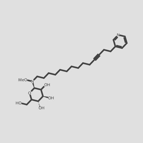 CON(CCCCCCCCCCC#CCCc1cccnc1)[C@@H]1OC(CO)[C@@H](O)[C@H](O)C1O